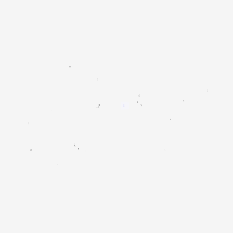 CC(C)(C)[S+]([O-])/N=C/c1cccc2cccnc12